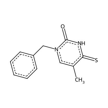 Cc1cn(Cc2ccccc2)c(=O)[nH]c1=S